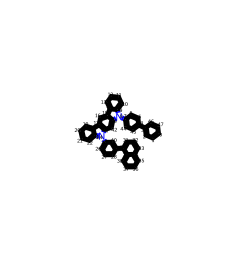 c1ccc(-c2ccc(-n3c4ccccc4c4cc5c6ccccc6n(-c6cccc(-c7cccc8ccccc78)c6)c5cc43)cc2)cc1